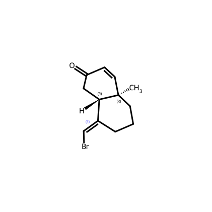 C[C@@]12C=CC(=O)C[C@H]1/C(=C/Br)CCC2